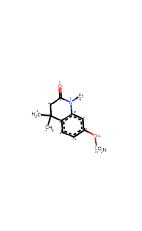 CCN1C(=O)CC(C)(C)c2ccc(OC(=O)O)cc21